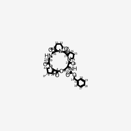 C[C@H]1C[C@H]2C(=O)O[C@@H](C)C(NC(=O)OCc3ccccc3)C(=O)N3CCC[C@H]3C(=O)N3CCCC[C@H]3C(=O)N[C@@H](C)C(=O)N2C1